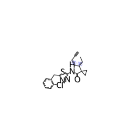 C#C/C=C\C(=C/C)C1(C(=O)Nc2nnc(Cc3ccccc3Cl)s2)CC1